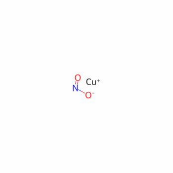 O=N[O-].[Cu+]